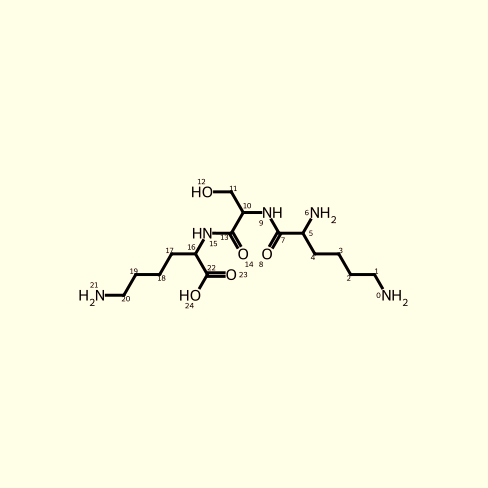 NCCCCC(N)C(=O)NC(CO)C(=O)NC(CCCCN)C(=O)O